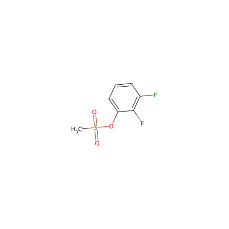 CS(=O)(=O)Oc1cc[c]c(F)c1F